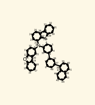 c1cc(-c2cccc(N(c3ccc4oc5ccccc5c4c3)c3cccc4c3sc3ccccc34)c2)cc(-c2cccc3ccccc23)c1